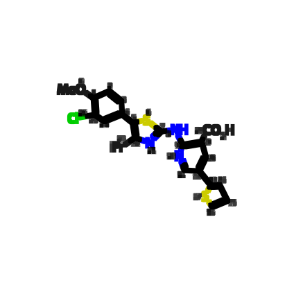 COc1ccc(-c2sc(Nc3ncc(-c4cccs4)cc3C(=O)O)nc2C(C)C)cc1Cl